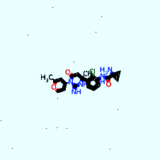 C[C@@H]1C[C@H](N2C(=N)N[C@](C)(c3cccc(NC(=O)C4(N)CC4)c3Cl)CC2=O)CCO1